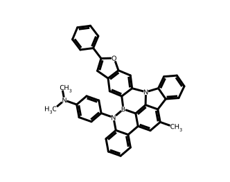 Cc1cc2c3c4c1c1ccccc1n4-c1cc4oc(-c5ccccc5)cc4cc1B3N(c1ccc(N(C)C)cc1)c1ccccc1-2